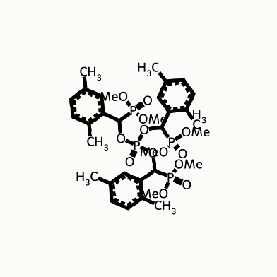 COP(=O)(OC)C(OP(=O)(OC(c1cc(C)ccc1C)P(=O)(OC)OC)OC(c1cc(C)ccc1C)P(=O)(OC)OC)c1cc(C)ccc1C